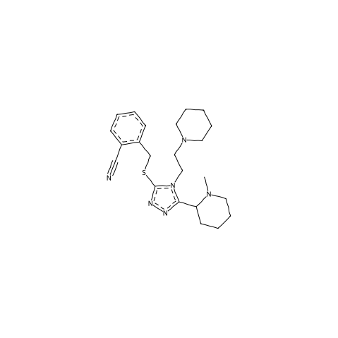 CN1CCCCC1c1nnc(SCc2ccccc2C#N)n1CCN1CCCCC1